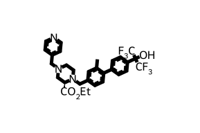 CCOC(=O)[C@@H]1CN(Cc2ccncc2)CCN1Cc1ccc(-c2ccc(C(O)(C(F)(F)F)C(F)(F)F)cc2)c(C)c1